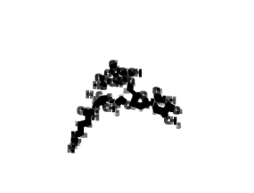 Cc1cn([C@H]2C[C@@H](OCSSC(C)(C)CNC(=O)CCCN=[N+]=[N-])[C@@H](COP(=O)(O)OP(=O)(O)OP(=O)(O)O)O2)c(=O)[nH]c1=O